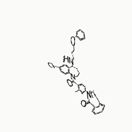 Cc1ccccc1C(=O)Nc1ccc(C(=O)N2CCCC(NCCCOc3ccccc3)c3cc(Cl)ccc32)c(C)c1